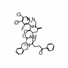 C=C(CCN)CC(NC(=O)[C@@H]1Cc2ccccc2CN1C(=O)CCC(=O)c1ccccc1)C(=O)Nc1ccc(Cl)c(Cl)c1F